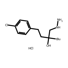 CC(C)(C)C(O)(CCc1ccc(Cl)cc1)CNN.Cl